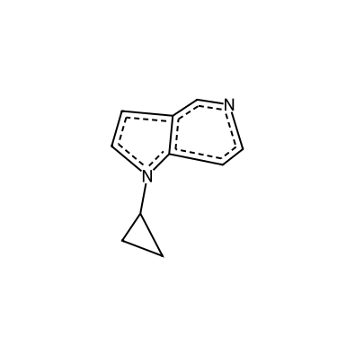 c1cc2c(ccn2C2CC2)cn1